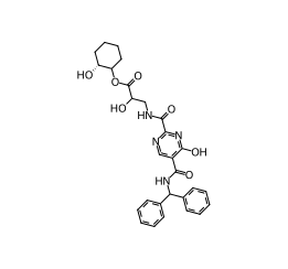 O=C(NCC(O)C(=O)OC1CCCC[C@H]1O)c1ncc(C(=O)NC(c2ccccc2)c2ccccc2)c(O)n1